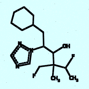 CC(F)C(C)(CF)C(O)C(CC1CCCCC1)n1cncn1